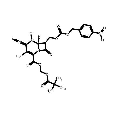 CC1=C(C(=O)OCOC(=O)C(C)(C)C)N2C(=O)[C@H](COC(=O)OCc3ccc([N+](=O)[O-])cc3)[C@H]2[S+]([O-])C1=[N+]=[N-]